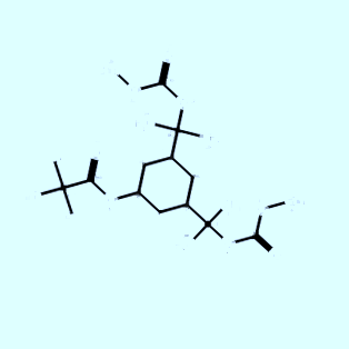 CC(C)(C)OC(=O)OC(C1CC(OC(=O)C(C)(C)F)CC(C(OC(=O)OC(C)(C)C)(C(F)(F)F)C(F)(F)F)C1)(C(F)(F)F)C(F)(F)F